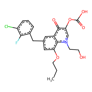 CCCOc1cc(Cc2cccc(Cl)c2F)cc2c(=O)c(OC(=O)O)cn(CCO)c12